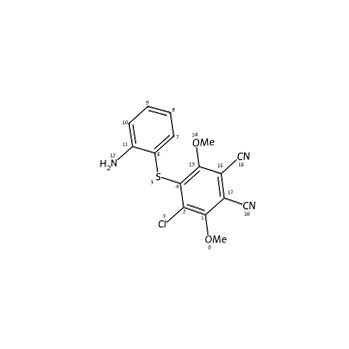 COc1c(Cl)c(Sc2ccccc2N)c(OC)c(C#N)c1C#N